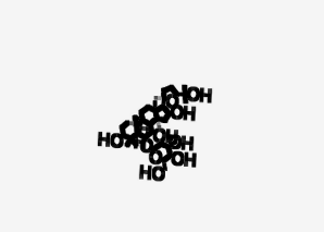 CC(C)(O)[C@@H]1CC[C@](C)([C@H]2[C@@H](O)C[C@@]3(C)[C@@H]4CC(O[C@@H]5O[C@H](CO)[C@@H](O)[C@H](O)C5O)[C@H]5C(C)(C)C(O)CC[C@@]56C[C@@]46CC[C@]23C)O1